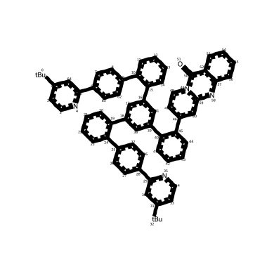 CC(C)(C)c1ccnc(-c2ccc(-c3ccccc3-c3cc(-c4ccccc4-c4ccc(-c5cc(C(C)(C)C)ccn5)cc4)cc(-c4ccccc4-c4ccn5c(=O)c6ccccc6nc5c4)c3)cc2)c1